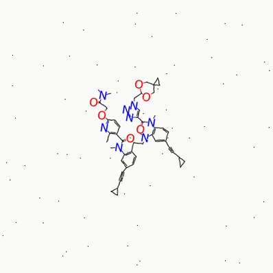 Cc1nc(OCC(=O)N(C)C)ccc1C(=O)N(C)c1cc(C#CC2CC2)ccc1CCN(C)c1cc(C#CC2CC2)ccc1N(C)C(=O)c1cn(CC2OCC3(CC3)CO2)nn1